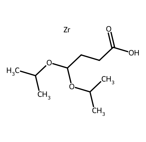 CC(C)OC(CCC(=O)O)OC(C)C.[Zr]